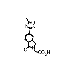 Cc1nc(-c2ccc3c(c2)CN(CC(=O)O)C3=O)no1